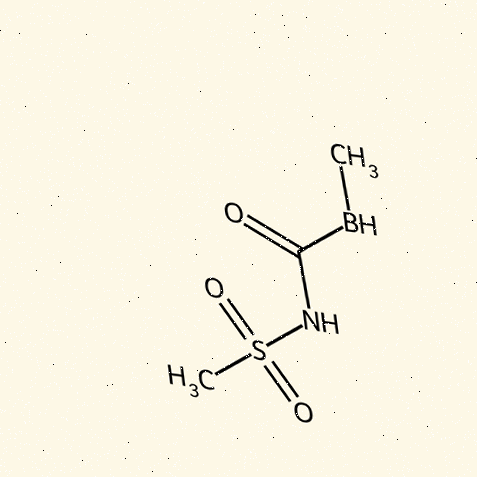 CBC(=O)NS(C)(=O)=O